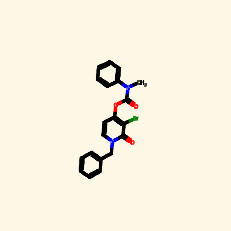 CN(C(=O)Oc1ccn(Cc2ccccc2)c(=O)c1Br)c1ccccc1